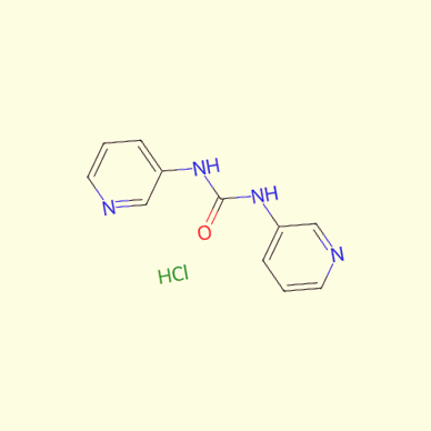 Cl.O=C(Nc1cccnc1)Nc1cccnc1